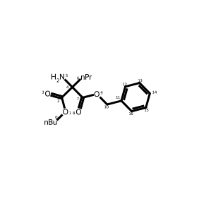 CCCCOC(=O)C(N)(CCC)C(=O)OCc1ccccc1